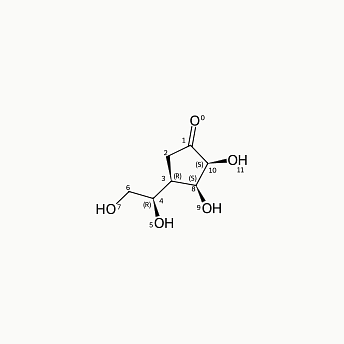 O=C1C[C@H]([C@@H](O)CO)[C@H](O)[C@@H]1O